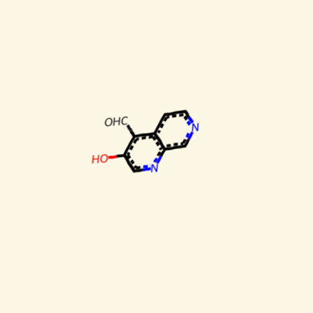 O=Cc1c(O)cnc2cnccc12